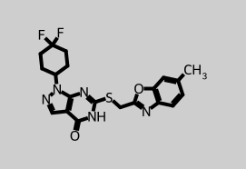 Cc1ccc2nc(CSc3nc4c(cnn4C4CCC(F)(F)CC4)c(=O)[nH]3)oc2c1